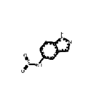 O=[SH](=O)Nc1ccc2[nH]ncc2c1